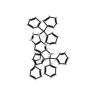 c1ccc(COc2cc3nnn(C(c4ccccc4)(c4ccccc4)c4ccccc4)c3nc2NC(c2ccccc2)(c2ccccc2)c2ccccc2)cc1